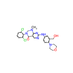 CN1CN(c2c(Cl)cccc2Cl)C(=O)c2cnc(Nc3ccc(N4CCOCC4)c(CO)c3)nc21